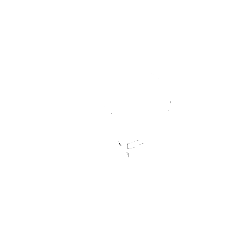 CC(C)c1ncc2ccccc2c1C(C)C